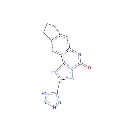 O=c1nc2cc3c(cc2c2[nH]c(-c4nnn[nH]4)nn12)CCC3